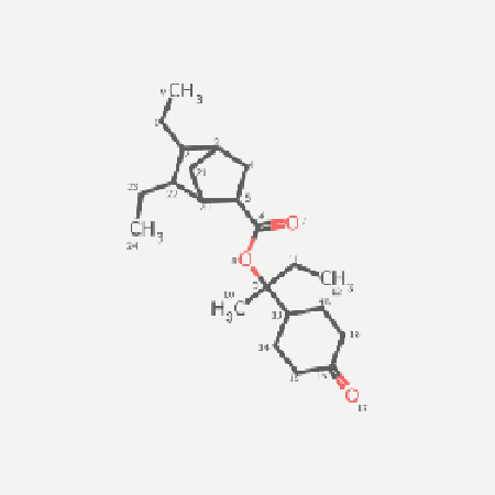 CCC1C2CC(C(=O)OC(C)(CC)C3CCC(=O)CC3)C(C2)C1CC